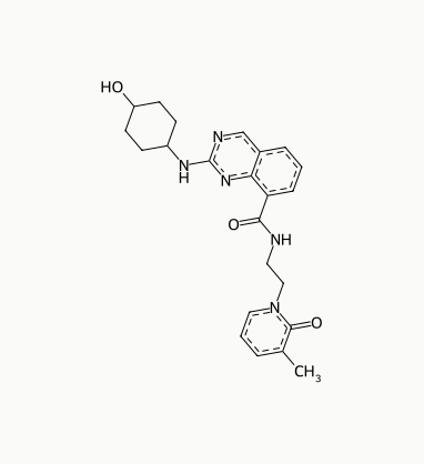 Cc1cccn(CCNC(=O)c2cccc3cnc(NC4CCC(O)CC4)nc23)c1=O